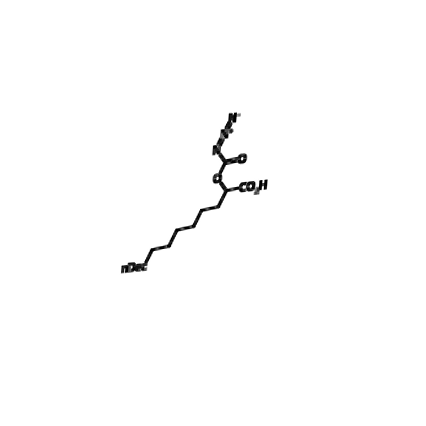 CCCCCCCCCCCCCCCCC(OC(=O)N=[N+]=[N-])C(=O)O